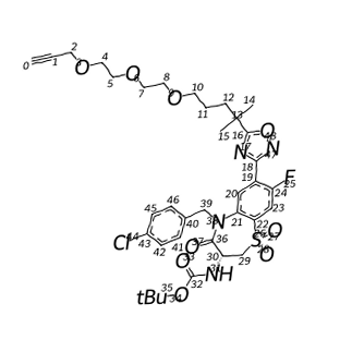 C#CCOCCOCCOCCCC(C)(C)c1nc(-c2cc3c(cc2F)S(=O)(=O)C[C@H](NC(=O)OC(C)(C)C)C(=O)N3Cc2ccc(Cl)cc2)no1